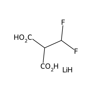 O=C(O)C(C(=O)O)C(F)F.[LiH]